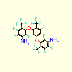 Nc1c(F)c(F)c(C(F)(F)F)c(Oc2cc(F)c(C(F)(F)F)c(Oc3c(F)c(N)c(F)c(F)c3C(F)(F)F)c2)c1F